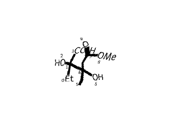 CCC(O)(C(=O)O)C(C)(O)C(=O)OC